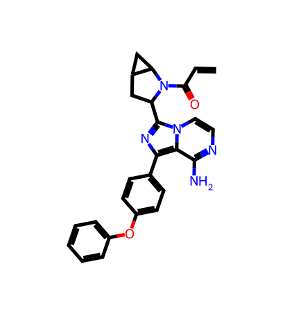 C=CC(=O)N1C(c2nc(-c3ccc(Oc4ccccc4)cc3)c3c(N)nccn23)CC2CC21